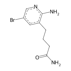 NC(=O)CCCc1cc(Br)cnc1N